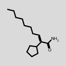 CCCCCCC/C=C(/C(N)=O)C1CCCC1